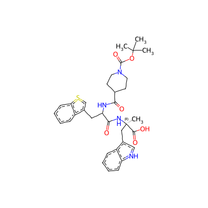 CC(C)(C)OC(=O)N1CCC(C(=O)NC(Cc2csc3ccccc23)C(=O)N[C@](C)(Cc2c[nH]c3ccccc23)C(=O)O)CC1